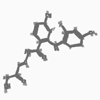 Cc1ccc(Nc2nc(C#N)ccc2C(=O)NOCC(=O)NO)c(F)c1